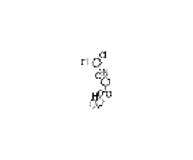 O=C(O[C@H]1CCN2CCC[C@@H]12)c1ccc2nc(-c3cc(Cl)cc(Cl)c3)oc2c1